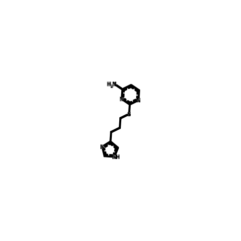 Nc1ccnc(SCCCc2c[nH]cn2)n1